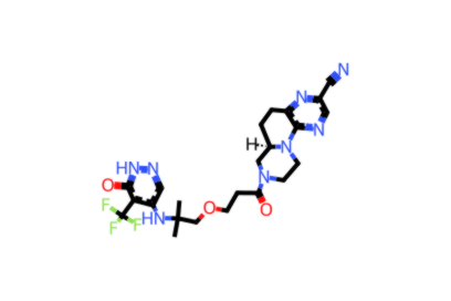 CC(C)(COCCC(=O)N1CCN2c3ncc(C#N)nc3CC[C@@H]2C1)Nc1cn[nH]c(=O)c1C(F)(F)F